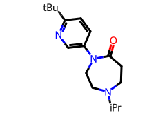 CC(C)N1CCC(=O)N(c2ccc(C(C)(C)C)nc2)CC1